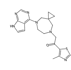 Cc1ncsc1C(=O)CN1CCN(c2ncnc3[nH]ccc23)CC2(CC2)C1